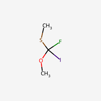 COC(F)(I)SC